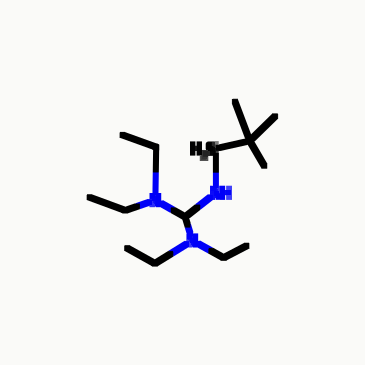 CCN(CC)C(N[SiH2]C(C)(C)C)N(CC)CC